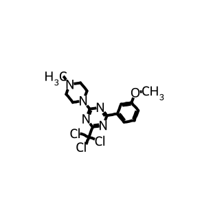 COc1cccc(-c2nc(N3CCN(C)CC3)nc(C(Cl)(Cl)Cl)n2)c1